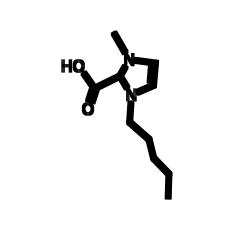 CCCCCN1C=CN(C)C1C(=O)O